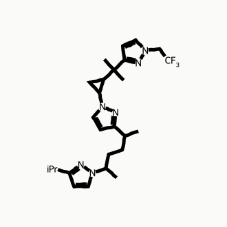 CC(C)c1ccn(C(C)CCC(C)c2ccn(C3CC3C(C)(C)c3ccn(CC(F)(F)F)n3)n2)n1